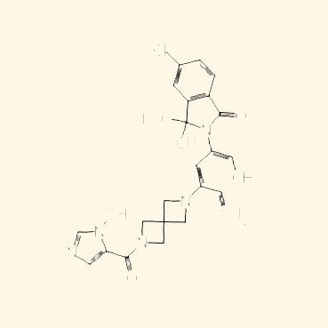 C=C/C(=C\C(=C/C)N1C(=O)c2ccc(Cl)cc2C1(C)C)N1CC2(CN(C(=O)c3cncn3C)C2)C1